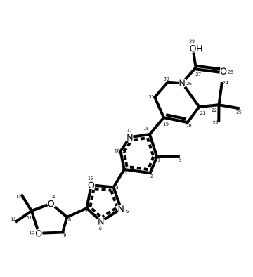 Cc1cc(-c2nnc(C3COC(C)(C)O3)o2)cnc1C1=CC(C(C)(C)C)N(C(=O)O)CC1